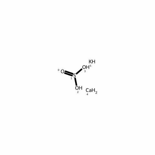 O=S(O)O.[CaH2].[KH]